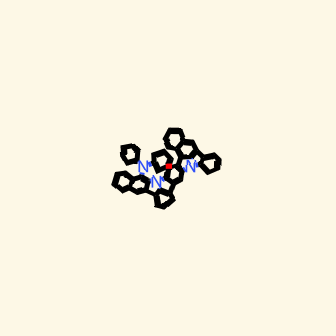 c1ccc(N(c2ccccc2)c2c3ccccc3cc3c4cccc5c6cc7c(cc6n(c23)c54)c2c3ccccc3cc3c4ccccc4n7c32)cc1